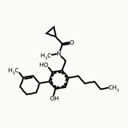 CCCCCc1cc(O)c(C2C=C(C)CCC2)c(O)c1CN(C)C(=O)C1CC1